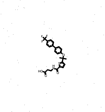 CC(C)(Oc1ccc(-c2ccc(C(F)(F)F)cc2)cc1)c1ccc(C(=O)NCCC(=O)O)s1